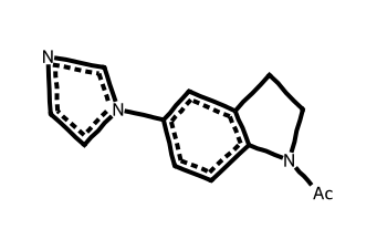 CC(=O)N1CCc2cc(-n3ccnc3)ccc21